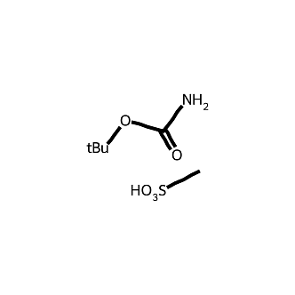 CC(C)(C)OC(N)=O.CS(=O)(=O)O